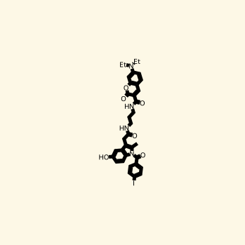 CCN(CC)c1ccc2cc(C(=O)NCCCNC(=O)Cc3c(C)n(C(=O)c4ccc(I)cc4)c4ccc(O)cc34)c(=O)oc2c1